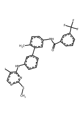 CSc1ncc(I)c(Nc2cccc(-c3cc(NC(=O)c4cccc(C(F)(F)F)c4)ccc3C)c2)n1